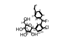 CCc1ccc(C(F)c2cc([C@@H]3O[C@H](CO)[C@@H](O)[C@H](O)[C@H]3O)ccc2Cl)cc1